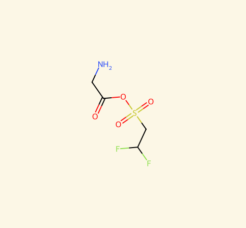 NCC(=O)OS(=O)(=O)CC(F)F